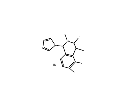 Cc1c(F)ccc2c1C(F)C(F)N(C)C2n1cccc1.[B]